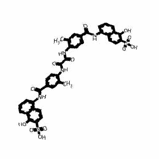 Cc1cc(C(=O)Nc2cccc3c(O)c(S(=O)(=O)O)ccc23)ccc1NC(=O)C(=O)Nc1ccc(C(=O)Nc2cccc3c(O)c(S(=O)(=O)O)ccc23)cc1C